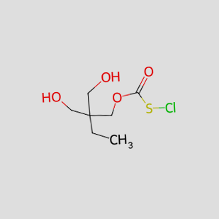 CCC(CO)(CO)COC(=O)SCl